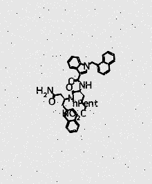 CCCCCN(C(=O)[C@H](CCCC(=O)O)NC(=O)c1cn(Cc2cccc3ccccc23)c2ccccc12)[C@H](CC(N)=O)Cc1ccc2ccccc2c1